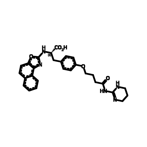 O=C(CCCOc1ccc(C[C@H](Nc2nc3c(ccc4ccccc43)o2)C(=O)O)cc1)NC1=NCCCN1